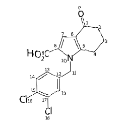 O=C1CCCc2c1cc(C(=O)O)n2Cc1ccc(Cl)c(Cl)c1